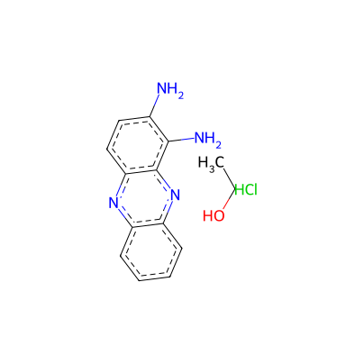 CCO.Cl.Nc1ccc2nc3ccccc3nc2c1N